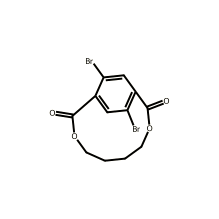 O=C1OCCCCOC(=O)c2cc(Br)c1cc2Br